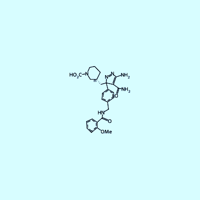 COc1ccccc1C(=O)NCc1ccc(C2(C[C@H]3CCCN(C(=O)O)C3)N=NC(N)=C2C(N)=O)cc1